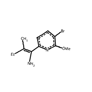 CC/C(C)=C(\N)c1ccc(Br)c(OC)n1